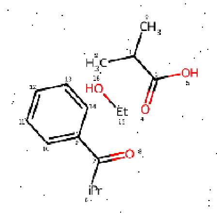 CC(C)C(=O)O.CC(C)C(=O)c1ccccc1.CCO